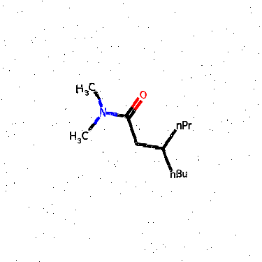 CCCCC(CCC)CC(=O)N(C)C